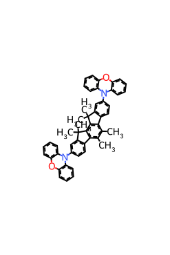 Cc1c(C)c2c(c3c1-c1ccc(N4c5ccccc5Oc5ccccc54)cc1C3(C)C)C(C)(C)c1cc(N3c4ccccc4Oc4ccccc43)ccc1-2